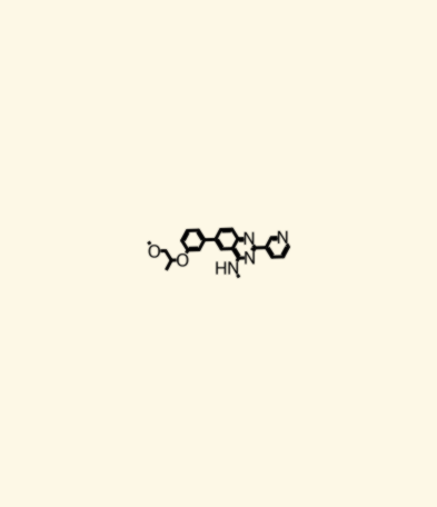 CNc1nc(-c2cccnc2)nc2ccc(-c3cccc(OC(C)COC)c3)cc12